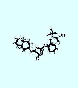 CC(C)(C)N(Cc1ccccc1NC1=NC(=O)/C(=C/c2ccc3ncccc3c2)S1)C(=O)O